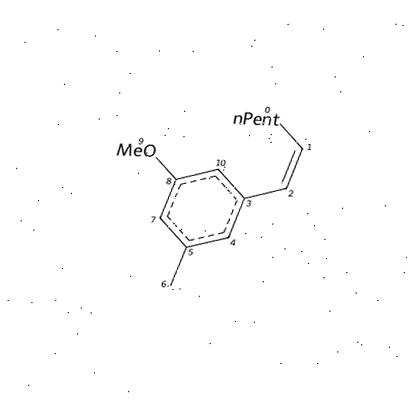 CCCCC/C=C\c1cc(C)cc(OC)c1